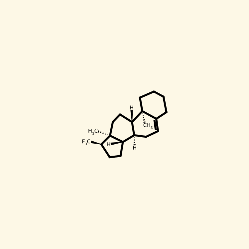 C[C@]12CC[C@H]3[C@@H](CC=C4CCCC[C@@]43C)[C@@H]1CC[C@H]2C(F)(F)F